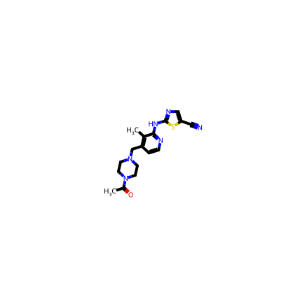 CC(=O)N1CCN(Cc2ccnc(Nc3ncc(C#N)s3)c2C)CC1